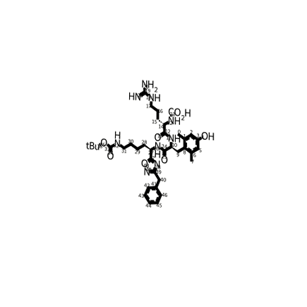 Cc1cc(O)cc(C)c1C[C@H](NC(=O)[C@H](CCCNC(=N)N)NC(=O)O)C(=O)N[C@H](CCCCNC(=O)OC(C)(C)C)c1nc(Cc2ccccc2)no1